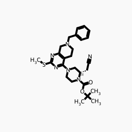 CSc1nc2c(c(N3CCN(C(=O)OC(C)(C)C)[C@@H](CC#N)C3)n1)CCN(Cc1ccccc1)C2